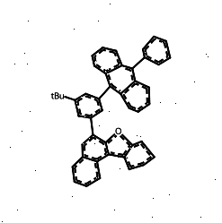 CC(C)(C)c1cc(-c2c3ccccc3c(-c3ccccc3)c3ccccc23)cc(-c2cc3ccccc3c3c2oc2ccccc23)c1